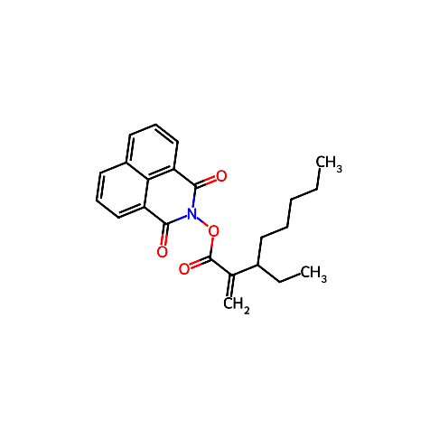 C=C(C(=O)ON1C(=O)c2cccc3cccc(c23)C1=O)C(CC)CCCCC